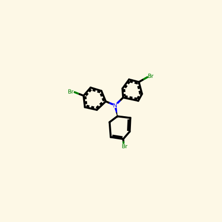 BrC1=CC[C@@H](N(c2ccc(Br)cc2)c2ccc(Br)cc2)C=C1